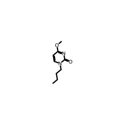 CCCCn1ccc(OC)nc1=O